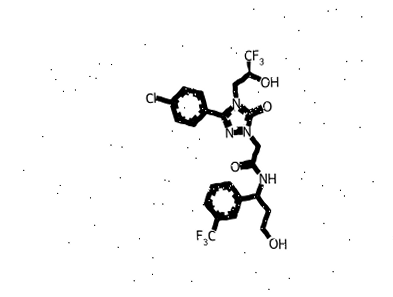 O=C(Cn1nc(-c2ccc(Cl)cc2)n(C[C@H](O)C(F)(F)F)c1=O)NC(CCO)c1cccc(C(F)(F)F)c1